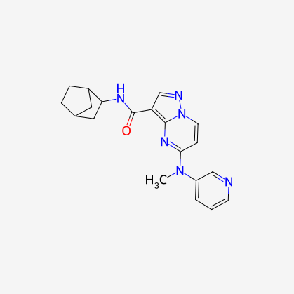 CN(c1cccnc1)c1ccn2ncc(C(=O)NC3CC4CCC3C4)c2n1